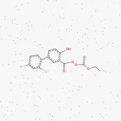 CCOC(=O)OOC(=O)c1cc(-c2ccc(F)cc2F)ccc1O